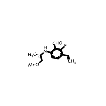 C=Cc1ccc(N[C@@H](C)COC)c(C=O)c1F